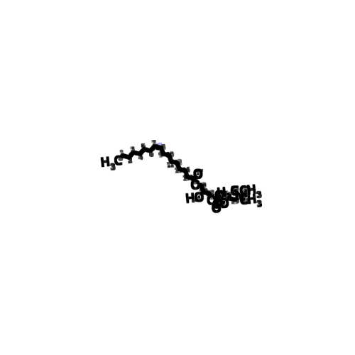 CCCCCCC/C=C\CCCCCCCC(=O)OC[C@@H](O)COP(=O)([O-])OCC[N+](C)(C)C